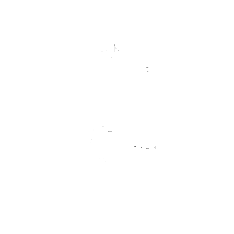 CC1CC(C=O)=CC=C1c1cccc(N)c1C(F)(F)F